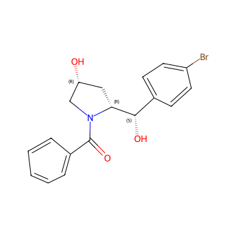 O=C(c1ccccc1)N1C[C@H](O)C[C@@H]1[C@@H](O)c1ccc(Br)cc1